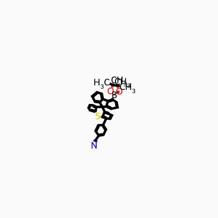 CC1(C)OB(c2cccc3c2-c2ccccc2C32c3ccccc3Sc3c(-c4ccc(C#N)cc4)cccc32)OC1(C)C